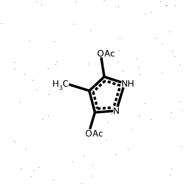 CC(=O)Oc1n[nH]c(OC(C)=O)c1C